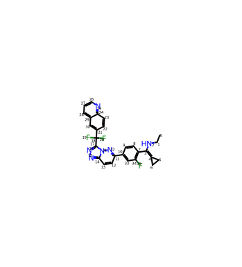 CCNC(=C1CC1)c1ccc(-c2ccc3nnc(C(F)(F)c4ccc5ncccc5c4)n3n2)cc1F